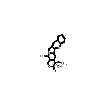 CC[C@@]1(O)C(=O)OCC2=C1C=C1c3nc4ccccc4cc3CN1C2O